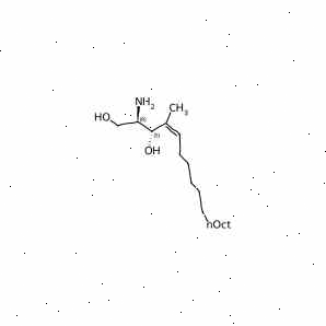 CCCCCCCCCCCCCC=C(C)[C@H](O)[C@H](N)CO